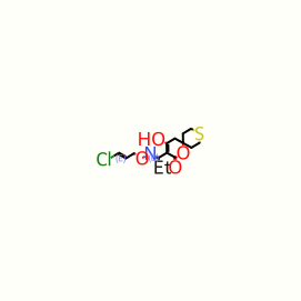 CC/C(=N\OC/C=C/Cl)C1=C(O)CC2(CCSCC2)OC1=O